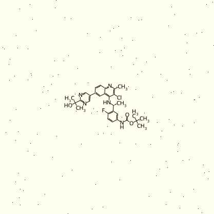 Cc1nc2ccc(-c3cnc(C(C)(C)O)nc3)cc2c(NC(C)c2cc(NC(=O)OC(C)(C)C)ccc2F)c1Cl